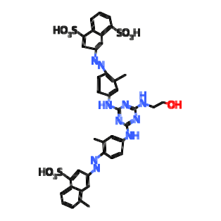 Cc1cc(Nc2nc(NCCO)nc(Nc3ccc(N=Nc4cc(S(=O)(=O)O)c5cccc(S(=O)(=O)O)c5c4)c(C)c3)n2)ccc1N=Nc1cc(S(=O)(=O)O)c2cccc(C)c2c1